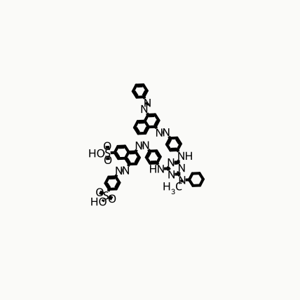 CN(c1nc(Nc2ccc(N=Nc3ccc(N=Nc4ccccc4)c4ccccc34)cc2)nc(Nc2ccc(N=Nc3ccc(N=Nc4ccc(S(=O)(=O)O)cc4)c4cc(S(=O)(=O)O)ccc34)cc2)n1)C1CCCCC1